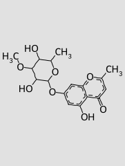 COC1C(O)C(C)OC(Oc2cc(O)c3c(=O)cc(C)oc3c2)C1O